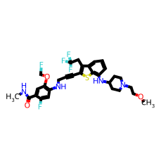 CNC(=O)c1cc(OCF)c(NCC#Cc2sc3c(NC4CCN(CCOC)CC4)cccc3c2CC(F)(F)F)cc1F